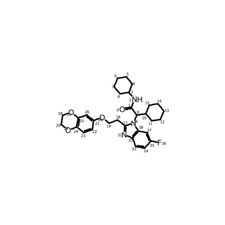 O=C(NC1CCCCC1)C(C1CCCCC1)n1c(CCOc2ccc3c(c2)OCCO3)nc2ccc(F)cc21